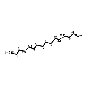 OCCSSCCCCCCSSCCO